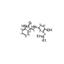 CCN(CC)Cc1cc(NC=C2C(=O)Nc3ccccc32)ccc1O